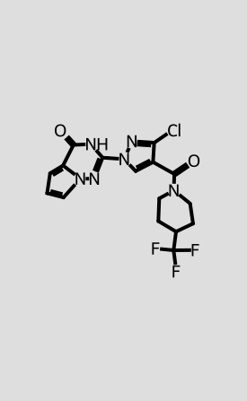 O=C(c1cn(-c2nn3cccc3c(=O)[nH]2)nc1Cl)N1CCC(C(F)(F)F)CC1